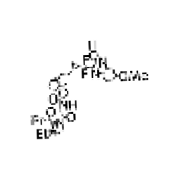 CC[C@@H]1CCN(C(=O)CNC(=O)OC2(C)CCC[C@H]2CCC2CC2C(F)(F)c2nc3ccc(OC)cc3nc2O)[C@@H]1C(=O)C(C)C